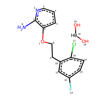 Nc1ncccc1OCCc1cc(F)ccc1Cl.OBO